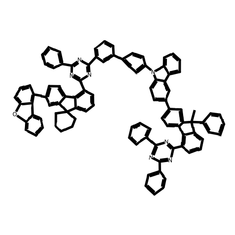 CC1(c2ccccc2)c2cc(-c3ccc4c(c3)c3ccccc3n4-c3ccc(-c4cccc(-c5nc(-c6ccccc6)nc(-c6cccc7c6-c6ccc(-c8cccc9oc%10ccccc%10c89)cc6C76CCCCC6)n5)c4)cc3)ccc2-c2c(-c3nc(-c4ccccc4)nc(-c4ccccc4)n3)cccc21